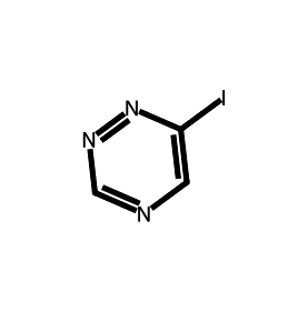 Ic1cncnn1